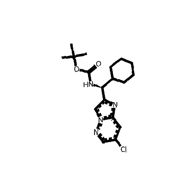 CC(C)(C)OC(=O)N[C@H](c1cn2ncc(Cl)cc2n1)C1CCCCC1